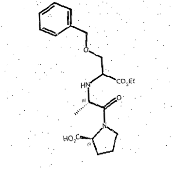 CCOC(=O)C(COCc1ccccc1)N[C@@H](C)C(=O)N1CCC[C@H]1C(=O)O